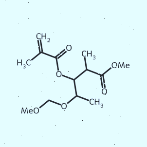 C=C(C)C(=O)OC(C(C)OCOC)C(C)C(=O)OC